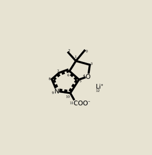 CC1(C)COc2c1ccnc2C(=O)[O-].[Li+]